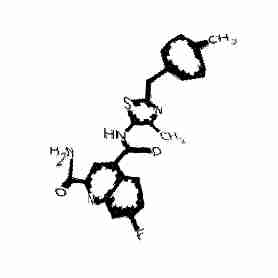 Cc1ccc(Cc2nc(C)c(NC(=O)c3cc(C(N)=O)nc4cc(F)ccc34)s2)cc1